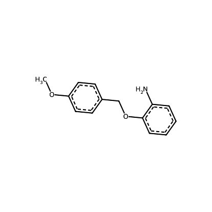 COc1ccc(COc2ccccc2N)cc1